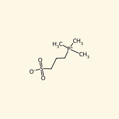 C[P+](C)(C)CCCS(=O)(=O)[O-]